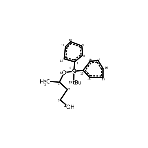 CC(CCO)O[Si](c1ccccc1)(c1ccccc1)C(C)(C)C